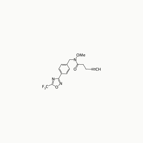 C#CCCC(=O)N(Cc1ccc(-c2noc(C(F)(F)F)n2)cc1)OC